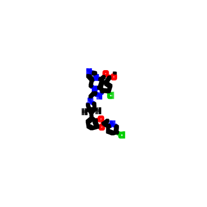 CCn1cncc1Cn1c(CN2C[C@@H]3C(c4cccc5c4OC(C)(c4ccc(Cl)cn4)O5)[C@@H]3C2)nc2c(Cl)cc(C(=O)OC)cc21